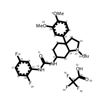 COc1ccc(C23CCC(NC(=O)Nc4cc(F)ccc4F)CC2N(C(C)(C)C)CC3)cc1OC.O=C(O)C(F)(F)F